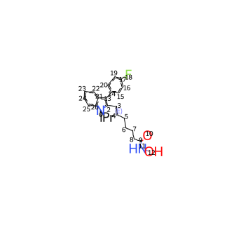 CC(C)n1c(/C=C/CCCCC(=O)NO)c(-c2ccc(F)cc2)c2ccccc21